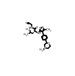 Cc1nsc(N[C@@H](CC(C)C)C(=O)NCC#N)c1-c1ccc(C2CN(C)CCO2)cc1